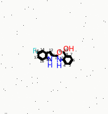 O=C(Nc1ccccc1CO)c1cc2cc(F)ccc2[nH]1